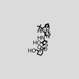 CC(C)(C)[C@@H](Nc1nsnc1Nc1csc(S(=O)(=O)N2CCCC2CO)c1O)c1ccco1